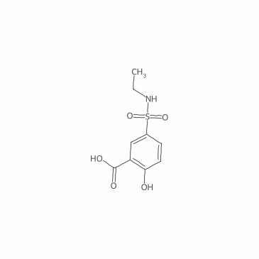 CCNS(=O)(=O)c1ccc(O)c(C(=O)O)c1